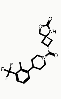 Cc1c(C2CCN(C(=O)[C@H]3C[C@]4(COC(=O)N4)C3)CC2)cccc1C(F)(F)F